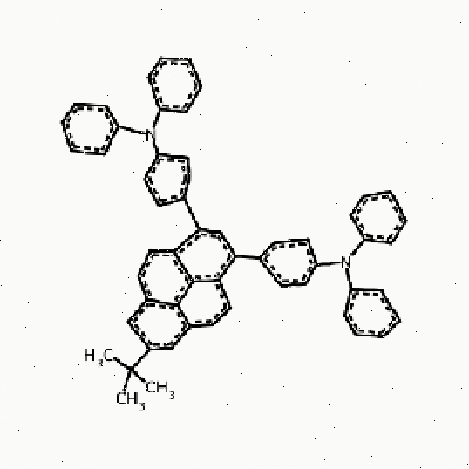 CC(C)(C)c1cc2ccc3c(-c4ccc(N(c5ccccc5)c5ccccc5)cc4)cc(-c4ccc(N(c5ccccc5)c5ccccc5)cc4)c4ccc(c1)c2c34